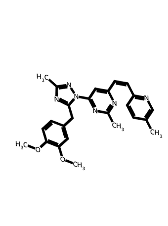 COc1ccc(Cc2nc(C)nn2-c2cc(C=Cc3ccc(C)cn3)nc(C)n2)cc1OC